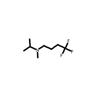 CC(C)N(C)CCCC(F)(F)F